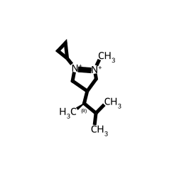 CC(C)[C@@H](C)C1C[N+](C)=[N+](C2CC2)C1